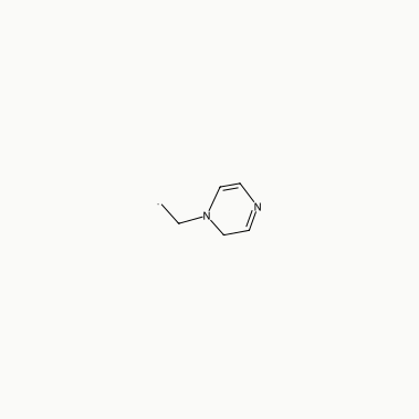 [CH2]CN1C=CN=CC1